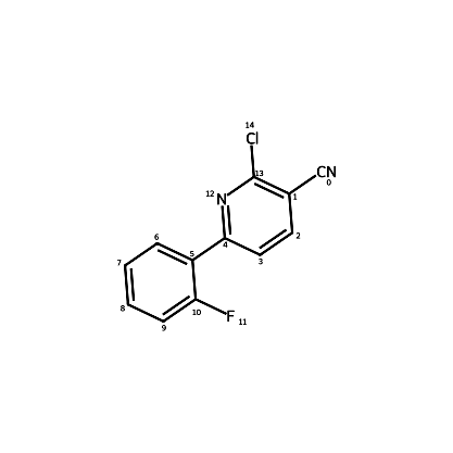 N#Cc1ccc(-c2ccccc2F)nc1Cl